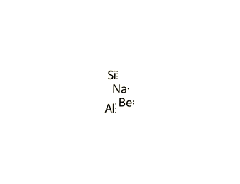 [Al].[Be].[Na].[Si]